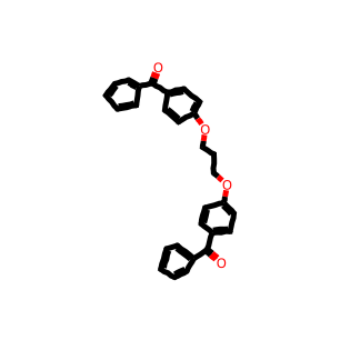 O=C(c1ccccc1)c1ccc(OCCCOc2ccc(C(=O)c3ccccc3)cc2)cc1